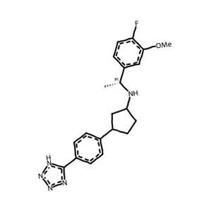 COc1cc([C@@H](C)NC2CCC(c3ccc(-c4nnn[nH]4)cc3)C2)ccc1F